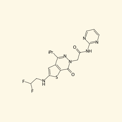 CC(C)c1nn(CC(=O)Nc2ncccn2)c(=O)c2sc(NCC(F)F)cc12